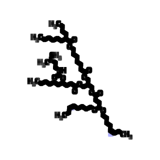 CC/C=C\CCCCOC(CCC(=O)OCC(COC(=O)CCCCCCOC(=O)C(CCCC)CCCCCC)COC(=O)CCC(CCCCCC)OC(=O)NCCN(C)C)OCCCC/C=C\CC